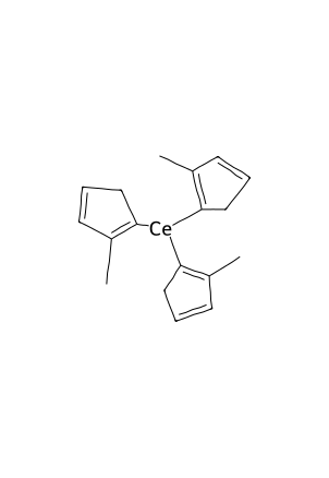 CC1=[C]([Ce]([C]2=C(C)C=CC2)[C]2=C(C)C=CC2)CC=C1